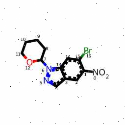 O=[N+]([O-])c1cc2cnn(C3CCCCO3)c2cc1Br